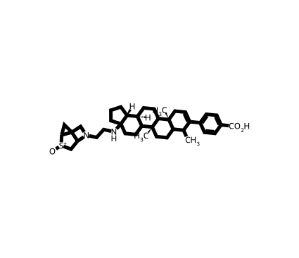 CC1C(c2ccc(C(=O)O)cc2)=CC[C@@]2(C)C1CC[C@@]1(C)C3CCC4(NCCN5CC67CC6[S+]([O-])CC57)CCC[C@@H]4[C@H]3CCC21